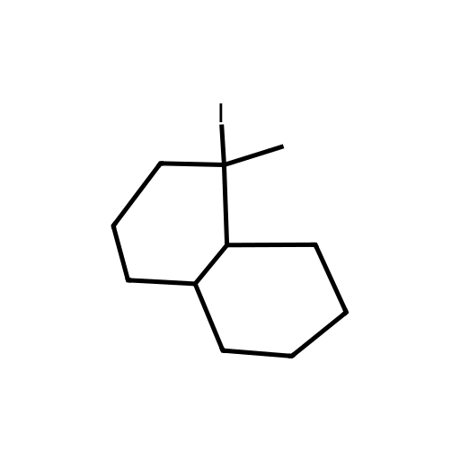 CC1(I)CCCC2CCCCC21